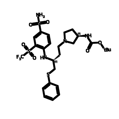 CC(C)(C)OC(=O)N[C@@H]1CCN(CC[C@H](CSc2ccccc2)Nc2ccc(S(N)(=O)=O)cc2S(=O)(=O)C(F)(F)F)C1